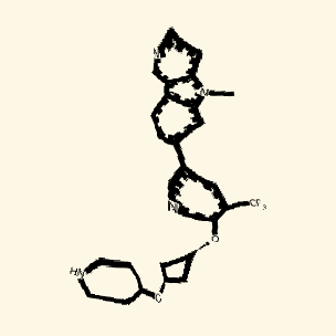 Cn1c2ccncc2c2ccc(-c3cnc(O[C@H]4C[C@H](OC5CCNCC5)C4)c(C(F)(F)F)c3)cc21